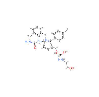 Cc1ccc(-c2nc(N(C(N)=O)c3c(C)cccc3C)ccc2COC(=O)NCCO)cc1